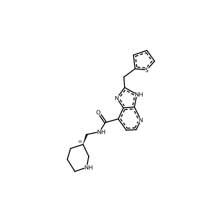 O=C(NC[C@@H]1CCCNC1)c1ccnc2[nH]c(Cc3cccs3)nc12